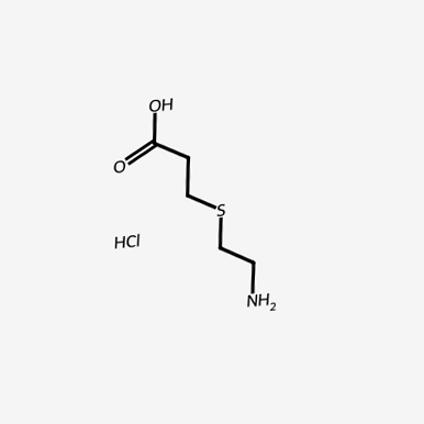 Cl.NCCSCCC(=O)O